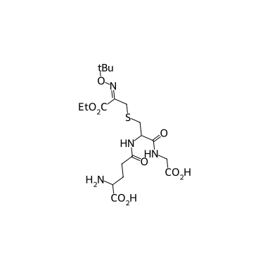 CCOC(=O)/C(CSCC(NC(=O)CCC(N)C(=O)O)C(=O)NCC(=O)O)=N\OC(C)(C)C